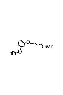 CCCOc1cccc(OCCCCOC)c1